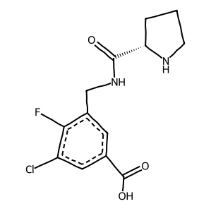 O=C(O)c1cc(Cl)c(F)c(CNC(=O)[C@@H]2CCCN2)c1